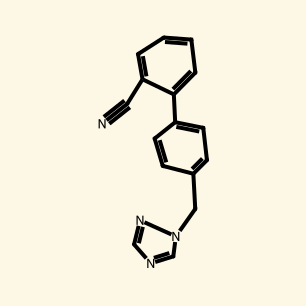 N#Cc1ccccc1-c1ccc(Cn2cncn2)cc1